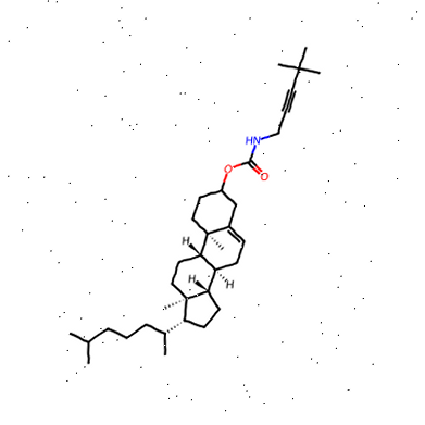 CC(C)CCCC(C)[C@H]1CC[C@H]2[C@@H]3CC=C4CC(OC(=O)NCC#CC(C)(C)C)CC[C@]4(C)[C@H]3CC[C@]12C